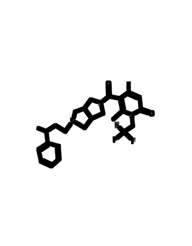 Cc1cc(=O)n(CC(F)(F)F)c(C)c1C(=O)N1CC2CN(CCC(C)c3ccccc3)CC2C1